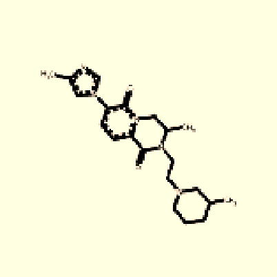 Cc1cn(-c2ccc3n(c2=O)CC(C)N(CCN2CCCC(C(F)(F)F)C2)C3=O)cn1